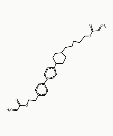 C=CC(=O)OCCCCCC1CCC(c2ccc(-c3ccc(CCOC(=O)C=C)cc3)cc2)CC1